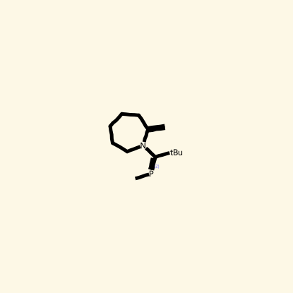 C=C1CCCCCN1/C(=P\C)C(C)(C)C